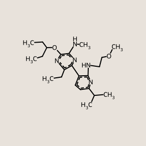 CCc1nc(OC(CC)CC)c(NC)nc1-c1ccc(C(C)C)nc1NCCOC